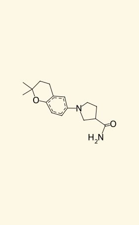 CC1(C)CCc2cc(N3CCC(C(N)=O)C3)ccc2O1